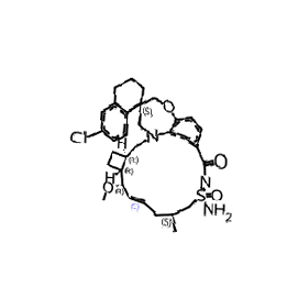 CO[C@H]1/C=C/C[C@H](C)CS(N)(=O)=NC(=O)c2ccc3c(c2)N(C[C@@H]2CC[C@H]21)C[C@@]1(CCCc2cc(Cl)ccc21)CO3